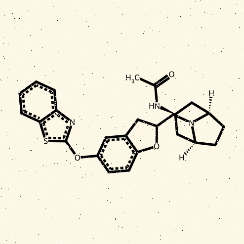 CC(=O)N[C@H]1C[C@H]2CC[C@@H](C1)N2CC1Cc2cc(Oc3nc4ccccc4s3)ccc2O1